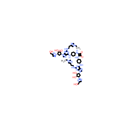 CCn1cnc(CCNc2nc(N[C@H]3CC[C@H](Nc4c(N[C@H]5CC[C@H](Nc6nc(NCCc7cn(CC)cn7)nc7c6ncn7[C@@H]6C[C@H](n7ncc(CO)n7)[C@@H](O)[C@H]6O)CC5)c(=O)c4=O)CC3)c3ncn([C@@H]4C[C@H](n5ncc(CO)n5)[C@@H](O)[C@H]4O)c3n2)c1